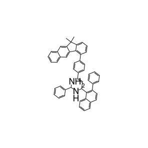 CC1(C)c2cc3ccccc3cc2-c2c(-c3ccc(/C=C/C(NC(N)c4ccccc4)c4c(-c5ccccc5)ccc5ccccc45)cc3)cccc21